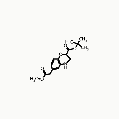 COC(=O)Cc1ccc2c(c1)NCC(C(=O)OC(C)(C)C)O2